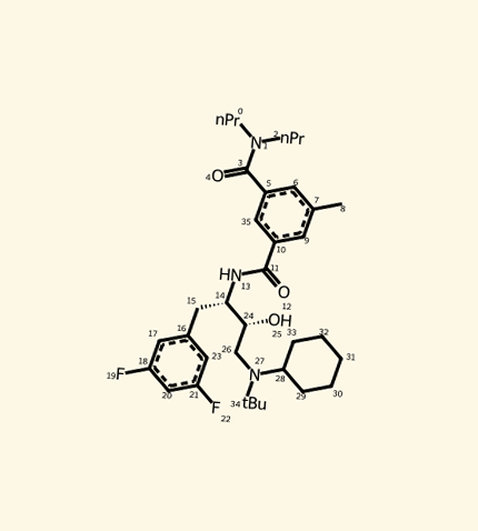 CCCN(CCC)C(=O)c1cc(C)cc(C(=O)N[C@@H](Cc2cc(F)cc(F)c2)[C@H](O)CN(C2CCCCC2)C(C)(C)C)c1